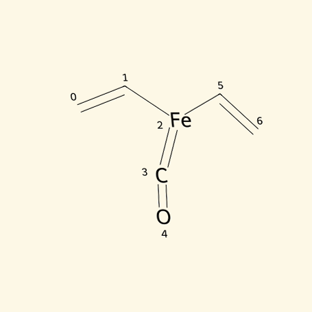 C=[CH][Fe](=[C]=O)[CH]=C